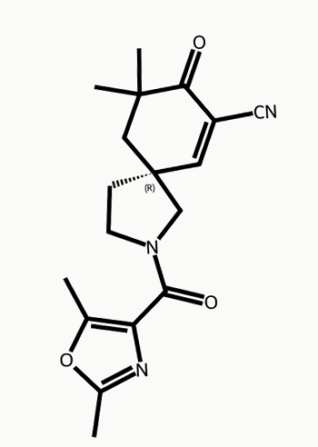 Cc1nc(C(=O)N2CC[C@]3(C=C(C#N)C(=O)C(C)(C)C3)C2)c(C)o1